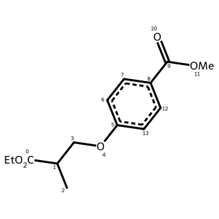 CCOC(=O)C(C)COc1ccc(C(=O)OC)cc1